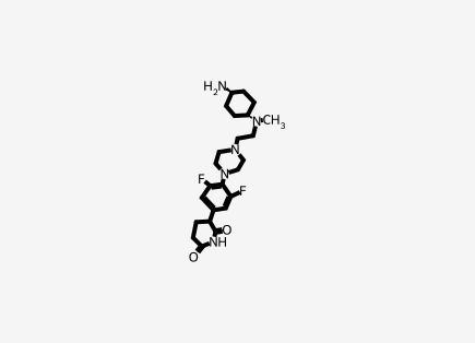 CN(CCN1CCN(c2c(F)cc(C3CCC(=O)NC3=O)cc2F)CC1)[C@H]1CC[C@H](N)CC1